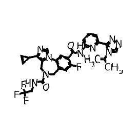 CC(C)n1cnnc1-c1cccc(NC(=O)c2cc3c(cc2F)CN(C(=O)NCC(F)(F)F)Cc2c(C4CC4)ncn2-3)n1